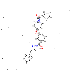 O=C(NCCC1CC2CCC1C2)c1cccc(OC2CCN(C(=O)C3CCCC3)CC2)c1